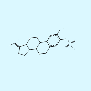 CC=C1CCC2C3CCc4cc(OS(=O)(=O)C(F)(F)F)c(C)cc4C3CC[C@]12C